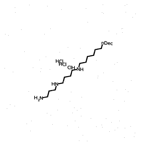 CCCCCCCCCCCCCCCCNCCCCNCCCN.Cl.Cl.Cl